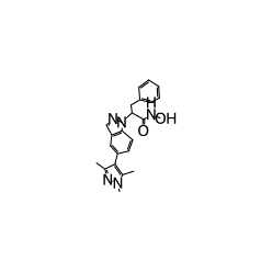 Cc1nn(C)c(C)c1-c1ccc2c(cnn2C(Cc2ccccc2)C(=O)NO)c1